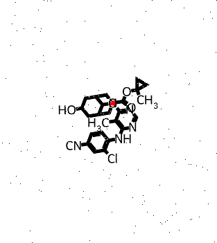 [C-]#[N+]c1ccc(Nc2ncnc(OC3C4CC(O)CC3CN(C(=O)OC3(C)CC3)C4)c2C)c(Cl)c1